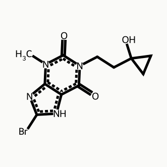 Cn1c(=O)n(CCC2(O)CC2)c(=O)c2[nH]c(Br)nc21